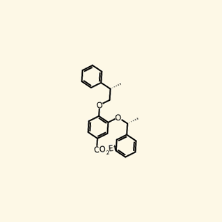 CCOC(=O)c1ccc(OC[C@@H](C)c2ccccc2)c(O[C@H](C)c2ccccc2)c1